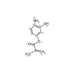 C=C(C)C(=O)Oc1ccc(N)c(O)c1